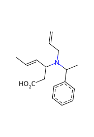 C=CCN(C(C=CC)CC(=O)O)C(C)c1ccccc1